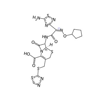 Nc1nc(/C(=N/OC2CCCC2)C(=O)NC2C(=O)N3C(C(=O)O)=C(CSc4nncs4)CS[C@H]23)ns1